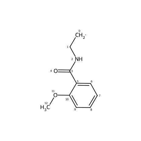 [CH2]CNC(=O)c1ccccc1OC